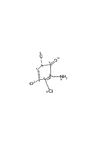 NC1=C(Cl)C(Cl)=CC(Cl)C1=O